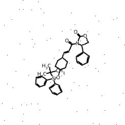 CC(C)(C)[Si](OC1CCC(C=CC(=O)N2C(=O)OCC2c2ccccc2)CC1)(c1ccccc1)c1ccccc1